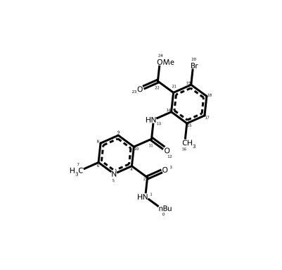 CCCCNC(=O)c1nc(C)ccc1C(=O)Nc1c(C)ccc(Br)c1C(=O)OC